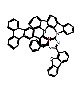 c1ccc(-c2nc(-c3cccc4c3sc3ccccc34)nc(-n3c4ccccc4c4ccc5c6ccccc6n(-c6ccccc6-c6ccc7c8ccccc8c8ccccc8c7c6)c5c43)n2)cc1